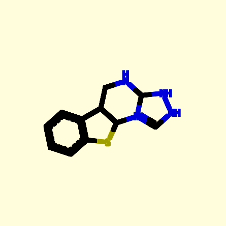 C1=[N+]2C(NCC3c4ccccc4SC32)NN1